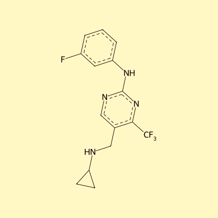 Fc1cccc(Nc2ncc(CNC3CC3)c(C(F)(F)F)n2)c1